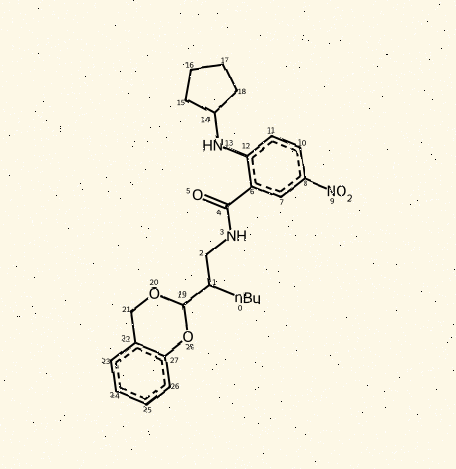 CCCCC(CNC(=O)c1cc([N+](=O)[O-])ccc1NC1CCCC1)C1OCc2ccccc2O1